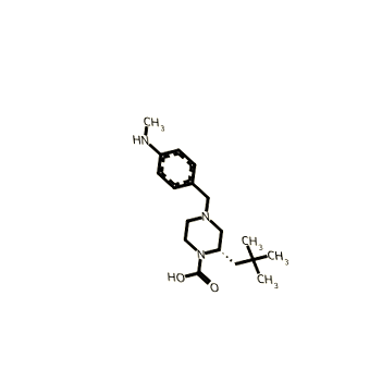 CNc1ccc(CN2CCN(C(=O)O)[C@@H](CC(C)(C)C)C2)cc1